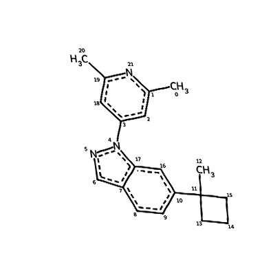 Cc1cc(-n2ncc3ccc(C4(C)CCC4)cc32)cc(C)n1